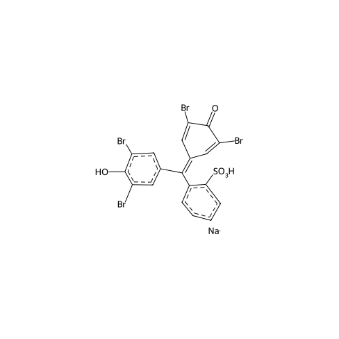 O=C1C(Br)=CC(=C(c2cc(Br)c(O)c(Br)c2)c2ccccc2S(=O)(=O)O)C=C1Br.[Na]